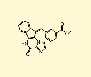 COC(=O)c1cccc(/C=c2/c3ccccc3c3[nH]c(=O)c4nccn4c23)c1